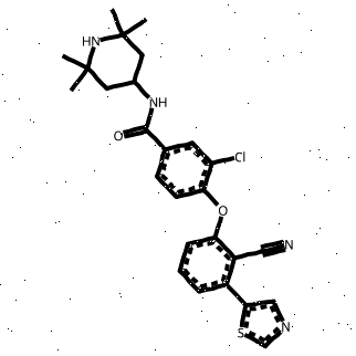 CC1(C)CC(NC(=O)c2ccc(Oc3cccc(-c4cncs4)c3C#N)c(Cl)c2)CC(C)(C)N1